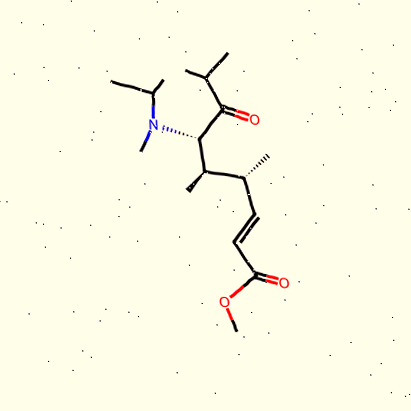 COC(=O)/C=C/[C@@H](C)[C@@H](C)[C@@H](C(=O)C(C)C)N(C)C(C)C